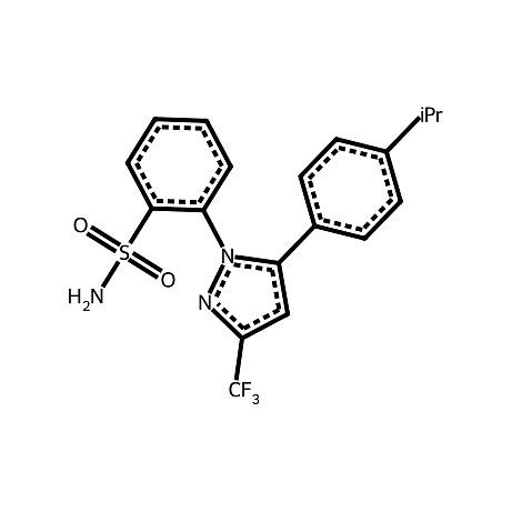 CC(C)c1ccc(-c2cc(C(F)(F)F)nn2-c2ccccc2S(N)(=O)=O)cc1